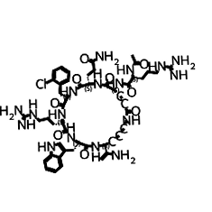 C=C(N)[C@@H]1CCCNC(=O)CC[C@H](NC(=O)[C@H](CCCNC(=N)N)NC(C)=O)C(=O)N[C@@H](CCC(N)=O)C(=O)N[C@H](Cc2ccccc2Cl)C(=O)N[C@@H](CCCNC(=N)N)C(=O)N[C@@H](Cc2c[nH]c3ccccc23)C(=O)N1